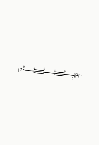 C[C](C)C#CC#C[C](C)C